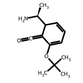 C[C@H](N)C1C=CC=C(OC(C)(C)C)C1=C=O